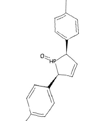 Cc1ccc([C@H]2C=C[C@@H](c3ccc(C)cc3)[PH]2=O)cc1